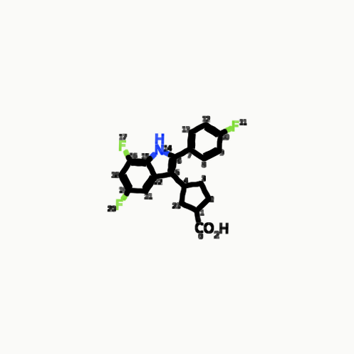 O=C(O)C1CCC(c2c(-c3ccc(F)cc3)[nH]c3c(F)cc(F)cc23)C1